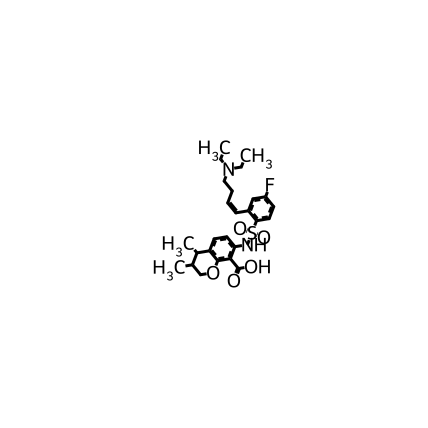 CCN(CC)CC/C=C\c1cc(F)ccc1S(=O)(=O)Nc1ccc2c(c1C(=O)O)OCC(C)C2C